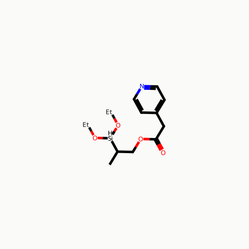 CCO[SiH](OCC)C(C)COC(=O)Cc1ccncc1